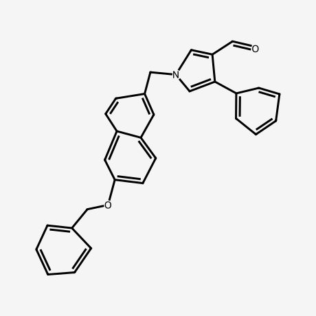 O=Cc1cn(Cc2ccc3cc(OCc4ccccc4)ccc3c2)cc1-c1ccccc1